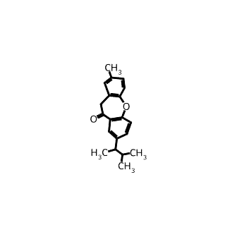 Cc1ccc2c(c1)CC(=O)c1cc(C(C)C(C)C)ccc1O2